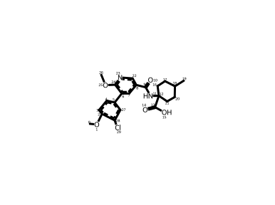 COc1ccc(-c2cc(C(=O)NC3(C(=O)O)CCC(C)CC3)cnc2OC)cc1Cl